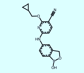 N#Cc1ccc(Nc2ccc3c(c2)COB3O)nc1OCC1CC1